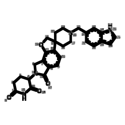 O=C1CCC(N2Cc3c(ccc4c3OCC43CCN(Cc4ccc5cc[nH]c5c4)CC3)C2=O)C(=O)N1